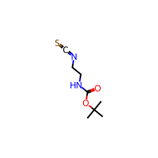 CC(C)(C)OC(=O)NCCN=C=S